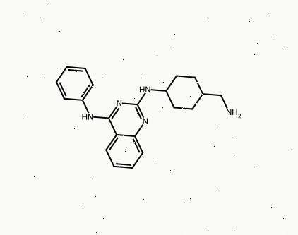 NCC1CCC(Nc2nc(Nc3ccccc3)c3ccccc3n2)CC1